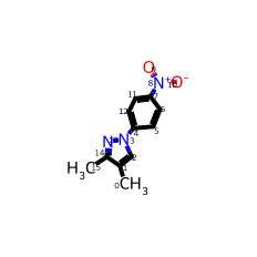 Cc1cn(-c2ccc([N+](=O)[O-])cc2)nc1C